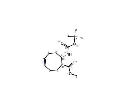 COC(=O)[C@H]1CC/C=C\CC[C@@H]1NC(=O)OC(C)(C)C